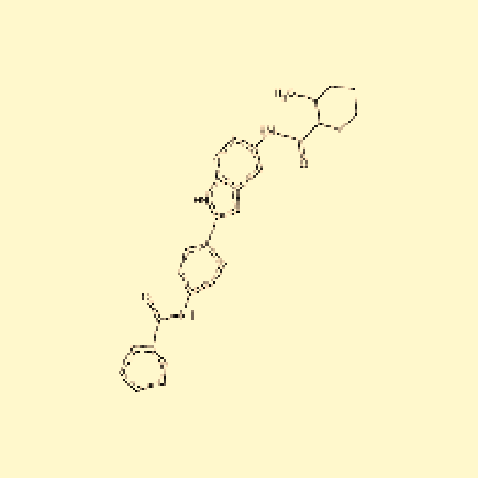 CC1CCCCC1C(=O)Nc1ccc2[nH]c(-c3ccc(NC(=O)c4ccccc4)cc3)cc2c1